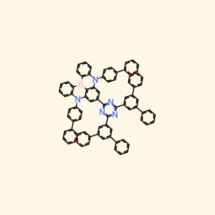 c1ccc(-c2ccc(N3c4ccccc4B4c5ccccc5N(c5ccc(-c6ccccc6)cc5)c5cc(-c6nc(-c7cc(-c8ccccc8)cc(-c8ccccc8)c7)nc(-c7cc(-c8ccccc8)cc(-c8ccccc8)c7)n6)cc3c54)cc2)cc1